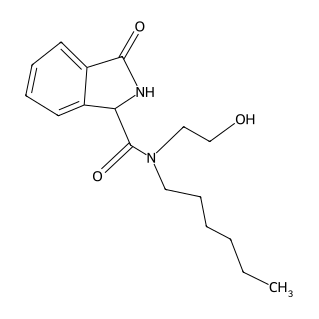 CCCCCCN(CCO)C(=O)C1NC(=O)c2ccccc21